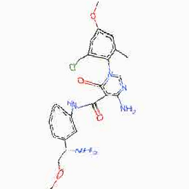 COC[C@@H](N)c1cccc(NC(=O)c2c(N)ncn(-c3c(C)cc(OC)cc3Cl)c2=O)c1